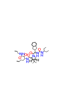 C=CCCC(NC(=O)[C@@H]1[C@@H]2[C@H](CN1C(=O)[C@@H](NC(=O)NC(CC)CC)C1Cc3ccccc3C1)C2(C)C)C(=O)C(=O)NCC=C